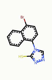 Sc1nncn1-c1ccc(Br)c2ccccc12